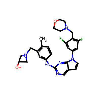 Cc1ccc(Nc2ncc3ccn(-c4cc(F)c(CN5CCOCC5)c(F)c4)c3n2)cc1CN1CC(O)C1